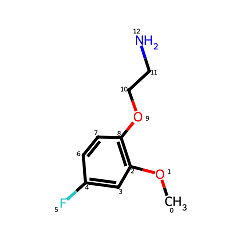 COc1cc(F)ccc1OCCN